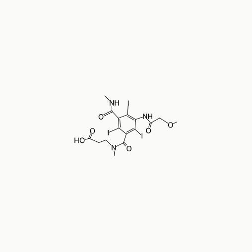 CNC(=O)c1c(I)c(NC(=O)COC)c(I)c(C(=O)N(C)CCC(=O)O)c1I